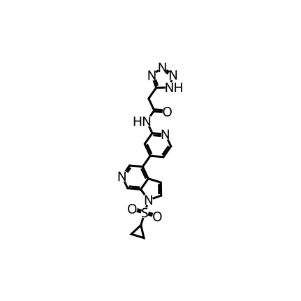 O=C(Cc1nnn[nH]1)Nc1cc(-c2cncc3c2ccn3S(=O)(=O)C2CC2)ccn1